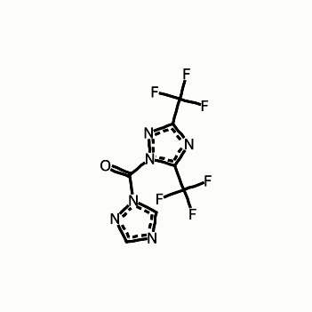 O=C(n1cncn1)n1nc(C(F)(F)F)nc1C(F)(F)F